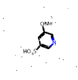 COc1cncc(S(=O)(=O)O)c1